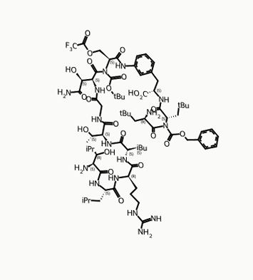 CC[C@H](C)[C@H](NC(=O)[C@@H](CCCNC(=N)N)NC(=O)[C@H](CC(C)C)NC(=O)[C@@H](N)[C@H](O)C(C)C)C(=O)N[C@H](C(=O)NCC(=O)N[C@H](C(=O)N(C(=O)OC(C)(C)C)[C@@H](COC(=O)C(F)(F)F)C(=O)Nc1cccc(C[C@H](NC(=O)[C@H](CC(C)(C)C)N(C(=O)OCc2ccccc2)C(=O)[C@H](N)CC(C)(C)C)C(=O)O)c1)[C@H](O)C(N)=O)[C@H](C)O